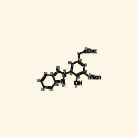 CCCCCCCCCCCc1cc(CCCCCCCCC)c(O)c(-n2nc3ccccc3n2)c1